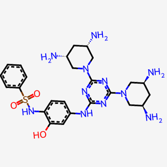 N[C@@H]1C[C@H](N)CN(c2nc(Nc3ccc(NS(=O)(=O)c4ccccc4)c(O)c3)nc(N3C[C@H](N)C[C@H](N)C3)n2)C1